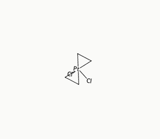 [Cl][Pt]12([Cl])([CH2][CH2]1)[CH2][CH2]2